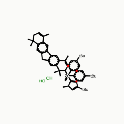 Cl.Cl.[CH2]=[Zr]([C]1=CC(C(C)(C)C)=CC1C)([c]1ccc(C(C)(C)C)cc1)([c]1ccc(C(C)(C)C)cc1)[CH]1C=C(C)c2cc3c(cc2C1(C)C)Cc1cc2c(cc1-3)C(C)=CCC2(C)C